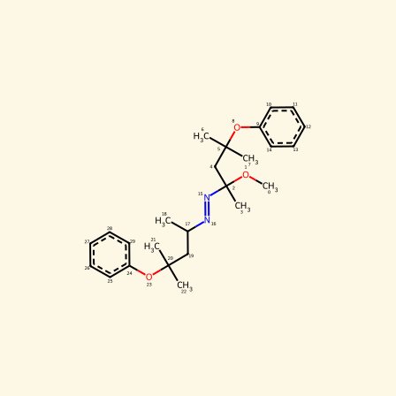 COC(C)(CC(C)(C)Oc1ccccc1)/N=N/C(C)CC(C)(C)Oc1ccccc1